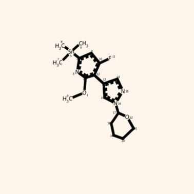 COc1n[c]([Sn]([CH3])([CH3])[CH3])cc(F)c1-c1cnn(C2CCCCO2)c1